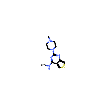 CC(C)Nc1nc(N2CCN(C)CC2)nc2cscc12